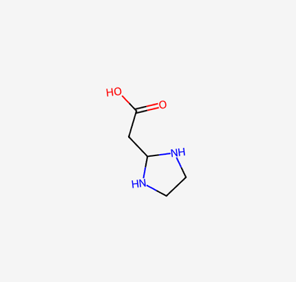 O=C(O)CC1NCCN1